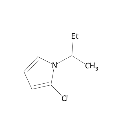 CCC(C)n1cccc1Cl